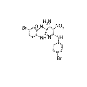 Nc1c([N+](=O)[O-])c(Nc2ccc(Br)cc2)nc(Nc2ccc(Br)cc2)c1[N+](=O)[O-]